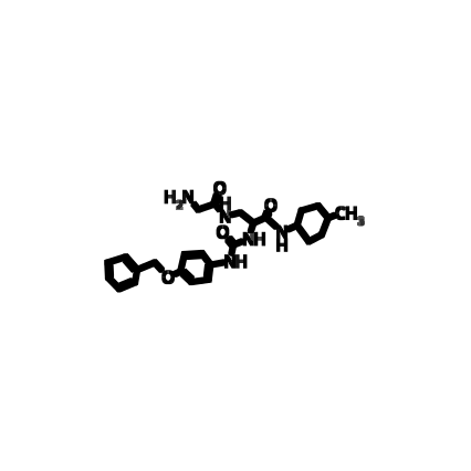 CC1CCC(NC(=O)C(CNC(=O)CN)NC(=O)Nc2ccc(OCc3ccccc3)cc2)CC1